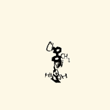 Cc1c(-c2cccc(Cl)c2)ccc2c1ncn2CC(=O)C[C@H]1NCCC[C@@H]1O